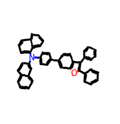 c1ccc(-c2oc3cc(-c4ccc(N(c5ccc6ccccc6c5)c5cccc6ccccc56)cc4)ccc3c2-c2ccccc2)cc1